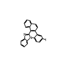 Ic1ccc2c(c1)c1ccc3ccccc3c1c1nc3ccccc3n21